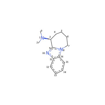 CN(C)[C@H]1CCCCn2c1nc1ccccc12